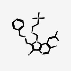 CC(C)=Cc1c(F)cnc2c(Br)c(COCc3ccccc3)n(COCC[Si](C)(C)C)c12